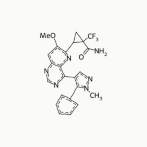 COc1cc2ncnc(-c3cnn(C)c3-c3ccccc3)c2nc1C1CC1(C(N)=O)C(F)(F)F